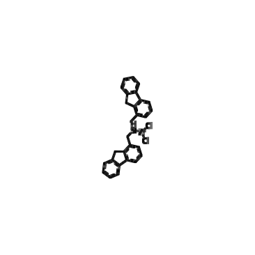 [Cl][Zr]([Cl])[SiH](Cc1cccc2c1Cc1ccccc1-2)Cc1cccc2c1Cc1ccccc1-2